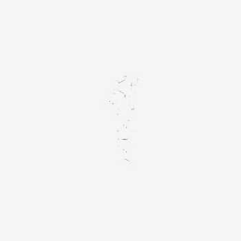 CC(=O)N1CC2=C(C1)CN([C@H]1CO[C@H](c3cc(F)ccc3F)[C@@H](N)C1)C2